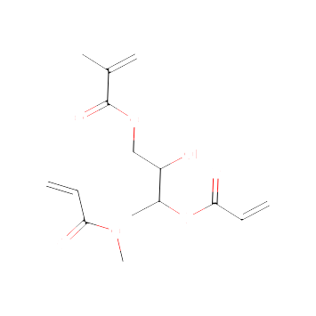 C=CC(=O)OC.C=CC(=O)OC(C)C(O)COC(=O)C(=C)C